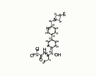 O=C(N[C@H](CF)[C@@H](O)c1ccc(-c2ccc(CN3CC(F)C3)nc2)cc1)C(Cl)Cl